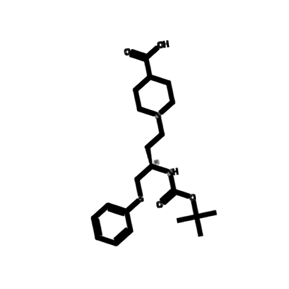 CC(C)(C)OC(=O)N[C@H](CCN1CCC(C(=O)O)CC1)CSc1ccccc1